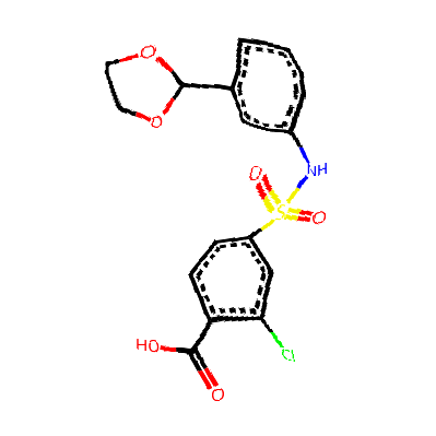 O=C(O)c1ccc(S(=O)(=O)Nc2cccc(C3OCCO3)c2)cc1Cl